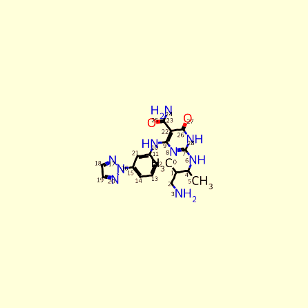 CC(CN)C(C)Nc1nc(Nc2cccc(-n3nccn3)c2)c(C(N)=O)c(=O)[nH]1